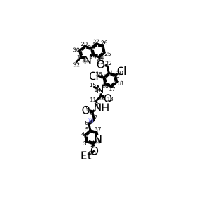 CCOc1ccc(/C=C/C(=O)NCC(=O)N(C)c2ccc(Cl)c(COc3cccc4ccc(C)nc34)c2Cl)cn1